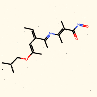 C/C=C(\C=C(/C)OCC(C)C)C(/C)=N/C(C)=C(\C)C(=O)N=O